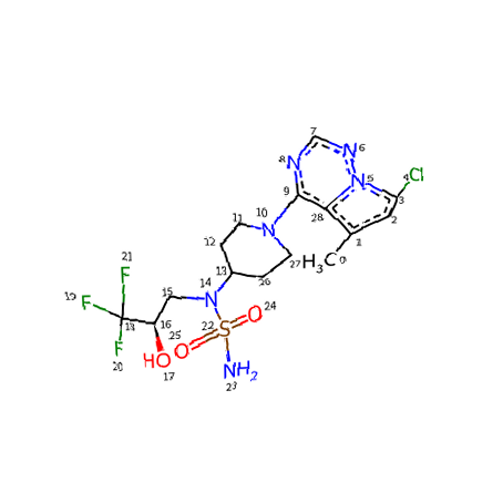 Cc1cc(Cl)n2ncnc(N3CCC(N(C[C@@H](O)C(F)(F)F)S(N)(=O)=O)CC3)c12